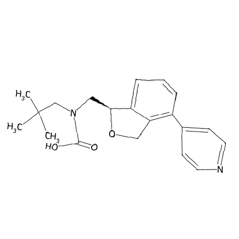 CC(C)(C)CN(C[C@@H]1OCc2c(-c3ccncc3)cccc21)C(=O)O